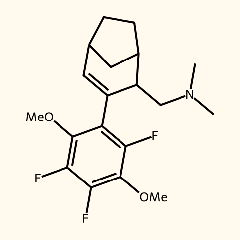 COc1c(F)c(F)c(OC)c(C2=CC3CCC(C3)C2CN(C)C)c1F